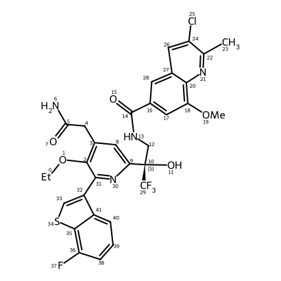 CCOc1c(CC(N)=O)cc([C@@](O)(CNC(=O)c2cc(OC)c3nc(C)c(Cl)cc3c2)C(F)(F)F)nc1-c1csc2c(F)cccc12